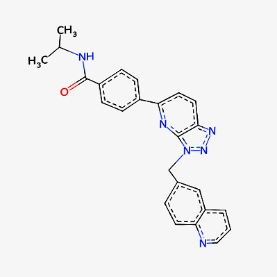 CC(C)NC(=O)c1ccc(-c2ccc3nnn(Cc4ccc5ncccc5c4)c3n2)cc1